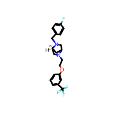 Fc1ccc(CN2CC3C[C@H]2CN3CCOc2c[c]cc(C(F)(F)F)c2)cc1